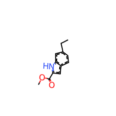 CCc1ccc2cc(C(=O)OC)[nH]c2c1